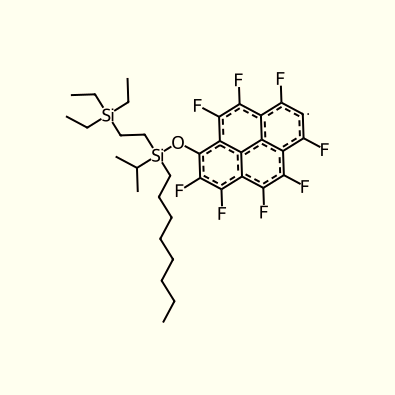 CCCCCCCC[Si](CC[Si](CC)(CC)CC)(Oc1c(F)c(F)c2c(F)c(F)c3c(F)[c]c(F)c4c(F)c(F)c1c2c34)C(C)C